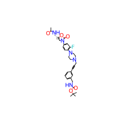 CC(=O)NC[C@H]1CN(c2ccc(N3CCN(CC#Cc4cccc(CNC(=O)OC(C)(C)C)c4)CC3)c(F)c2)C(=O)O1